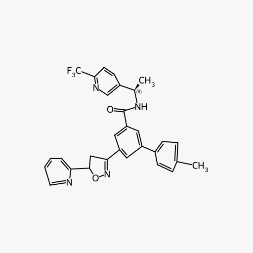 Cc1ccc(-c2cc(C(=O)N[C@H](C)c3ccc(C(F)(F)F)nc3)cc(C3=NOC(c4ccccn4)C3)c2)cc1